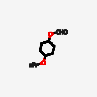 CCCOC1CCC(OC=O)CC1